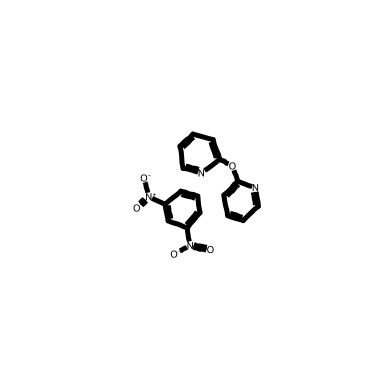 O=[N+]([O-])c1cccc([N+](=O)[O-])c1.c1ccc(Oc2ccccn2)nc1